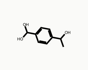 CC(O)c1ccc(C(O)O)cc1